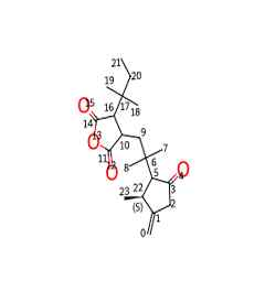 C=C1CC(=O)C(C(C)(C)CC2C(=O)OC(=O)C2C(C)(C)CC)[C@@H]1C